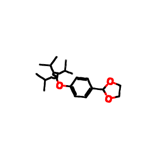 CC(C)[Si](Oc1ccc(C2OCCO2)cc1)(C(C)C)C(C)C